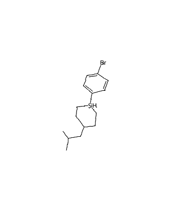 CC(C)CC1CC[SiH](c2ccc(Br)cc2)CC1